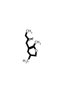 CC[C@@H](F)CC1=C(C)OCC(C)C1